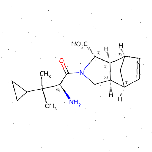 CC(C)(C1CC1)[C@H](N)C(=O)N1C[C@H]2[C@@H]([C@H]1C(=O)O)[C@H]1C=C[C@@H]2C1